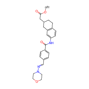 CCCOC(=O)CC1CCc2ccc(NC(=O)c3ccc(C=NN4CCOCC4)cc3)cc2C1